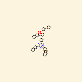 c1ccc(-c2cccc(-c3ccc(-c4ccc(-c5nc(-c6ccc7ccccc7c6)nc(-c6ccc7sc8ccccc8c7c6)n5)cc4)c4c3oc3cc5ccccc5cc34)c2)cc1